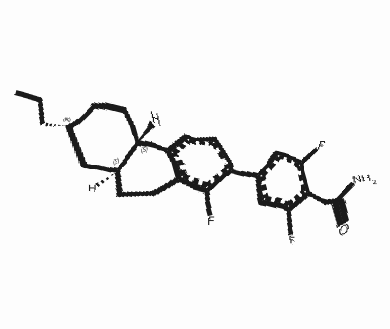 CCC[C@@H]1CC[C@@H]2c3ccc(-c4cc(F)c(C(N)=O)c(F)c4)c(F)c3CC[C@H]2C1